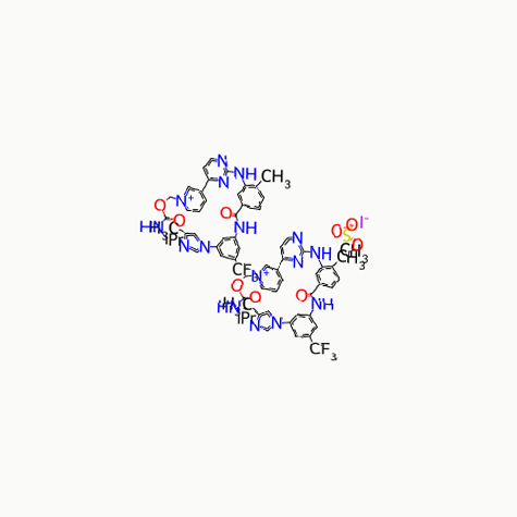 CS(=O)(=O)[O-].Cc1cn(-c2cc(NC(=O)c3ccc(C)c(Nc4nccc(-c5ccc[n+](COC(=O)NC(C)C)c5)n4)c3)cc(C(F)(F)F)c2)cn1.Cc1cn(-c2cc(NC(=O)c3ccc(C)c(Nc4nccc(-c5ccc[n+](COC(=O)NC(C)C)c5)n4)c3)cc(C(F)(F)F)c2)cn1.[I-]